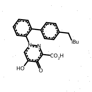 CCC(C)Cc1ccc(-c2ccccc2-n2cc(O)c(=O)c(C(=O)O)n2)cc1